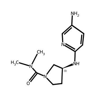 CN(C)C(=O)N1CC[C@H](Nc2ccc(N)cn2)C1